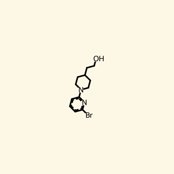 OCCC1CCN(c2cccc(Br)n2)CC1